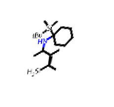 CC([SiH3])=C(C)C(C)NC1([Si](C)(C)C(C)(C)C)CCCCC1